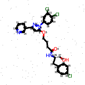 O=C(CCCOc1cc(-c2cccnc2)nn1-c1ccc(Cl)c(Cl)c1)N[C@H](CO)Cc1ccc(Cl)cc1